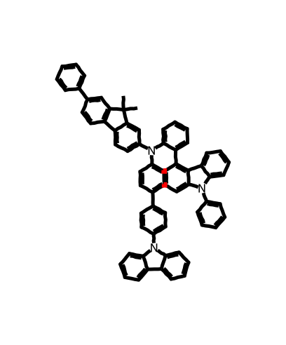 CC1(C)c2cc(-c3ccccc3)ccc2-c2ccc(N(c3ccc(-c4ccc(-n5c6ccccc6c6ccccc65)cc4)cc3)c3ccccc3-c3cccc4c3c3ccccc3n4-c3ccccc3)cc21